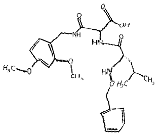 COc1ccc(CNC(=O)C(NC(=O)[C@H](CC(C)C)NOCc2ccccc2)C(=O)O)c(OC)c1